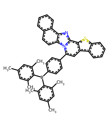 Cc1cc(C)c(B(c2ccc(-c3cc4c5ccccc5sc4c4nc5c6ccccc6ccc5n34)cc2)c2c(C)cc(C)cc2C)c(C)c1